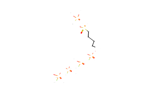 CCCCCS(=O)(=O)O.O=P(O)(O)F.O=P(O)(O)F.O=P(O)(O)F.O=P(O)(O)F.O=P([O-])(O)F.[Li+]